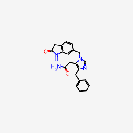 NC(=O)Cc1c(Cc2ccccc2)ncn1Cc1ccc2c(c1)NC(=O)C2